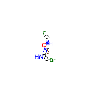 O=C(N/N=C/c1ccc(F)cc1)c1csc(-c2c[nH]c3ccc(Br)cc23)n1